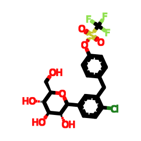 O=S(=O)(Oc1ccc(Cc2cc(C3O[C@H](CO)[C@@H](O)[C@H](O)[C@H]3O)ccc2Cl)cc1)C(F)(F)F